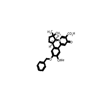 COc1cc2c(cc1OCc1ccccc1)[C@H]1CCC(C)(C)[C@H]1n1cc(C(=O)O)c(=O)cc1-2